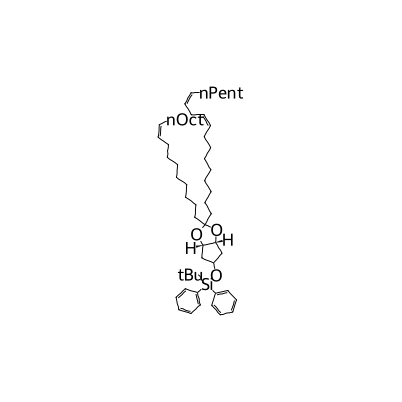 CCCCC/C=C\C/C=C\CCCCCCCCC1(CCCCCCCC/C=C\CCCCCCCC)O[C@H]2CC(O[Si](c3ccccc3)(c3ccccc3)C(C)(C)C)C[C@H]2O1